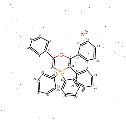 C1=C(c2ccccc2)OC(c2ccccc2)=C(c2ccccc2)[P+]1(c1ccccc1)c1ccccc1.[Br-]